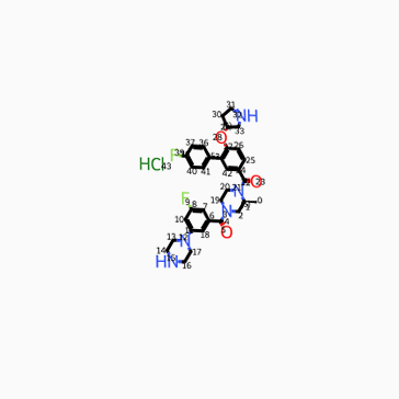 C[C@H]1CN(C(=O)c2cc(F)cc(N3CCNCC3)c2)CCN1C(=O)c1ccc(O[C@H]2CCNC2)c(-c2ccc(F)cc2)c1.Cl